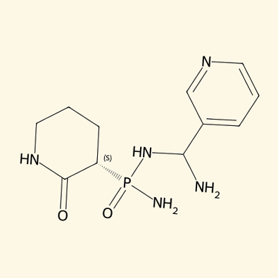 NC(NP(N)(=O)[C@H]1CCCNC1=O)c1cccnc1